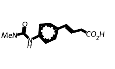 CNC(=O)Nc1ccc(/C=C/CC(=O)O)cc1